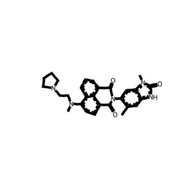 Cc1cc2[nH]c(=O)n(C)c2cc1N1C(=O)c2cccc3c(N(C)CCN4CCCC4)ccc(c23)C1=O